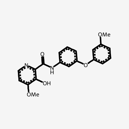 COc1cccc(Oc2cccc(NC(=O)c3nccc(OC)c3O)c2)c1